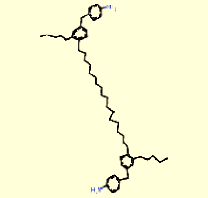 CCCCCc1cc(Cc2ccc(N)cc2)ccc1CCCCCCCCCCCCCCCCCCc1ccc(Cc2ccc(N)cc2)cc1CCCCC